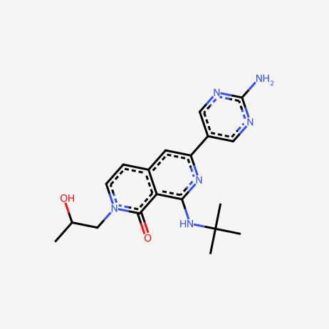 CC(O)Cn1ccc2cc(-c3cnc(N)nc3)nc(NC(C)(C)C)c2c1=O